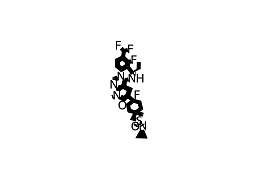 CC[C@@H](Nc1ncnc2c1cc(C1(F)CCC3(CC1)CS(=O)(=NC1CC1)C3)c(=O)n2C)c1cccc(C(F)F)c1F